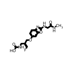 CNC(=O)CNc1nc2ccc(OCC(=CF)CNC(=O)O)cc2o1